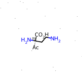 CC(=O)[C@@](N)(CCN)C(=O)O